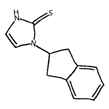 S=c1[nH]ccn1C1Cc2ccccc2C1